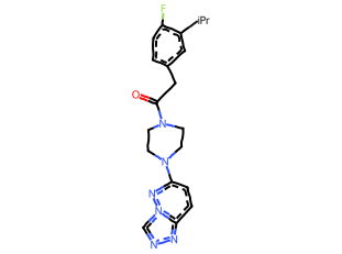 CC(C)c1cc(CC(=O)N2CCN(c3ccc4nncn4n3)CC2)ccc1F